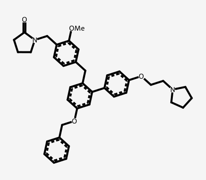 COc1cc(Cc2ccc(OCc3ccccc3)cc2-c2ccc(OCCN3CCCC3)cc2)ccc1CN1CCCC1=O